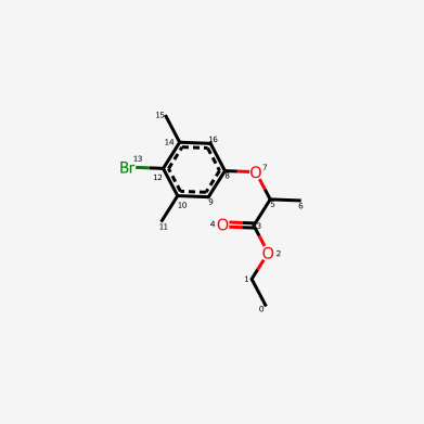 CCOC(=O)C(C)Oc1cc(C)c(Br)c(C)c1